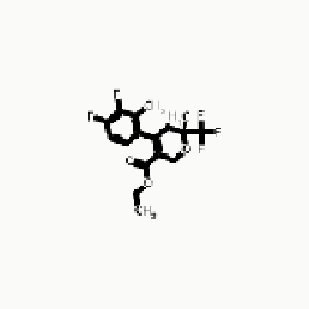 CCOC(=O)C1=C(c2ccc(F)c(F)c2C)C[C@](C)(C(F)(F)F)OC1